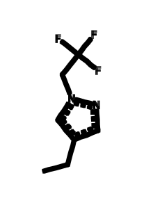 CCc1cnn(CC(F)(F)F)c1